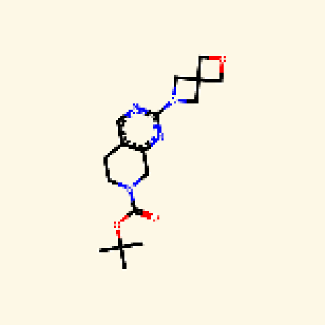 CC(C)(C)OC(=O)N1CCc2cnc(N3CC4(COC4)C3)nc2C1